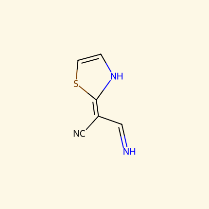 N#C/C(C=N)=C1/NC=CS1